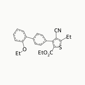 CCOC(=O)c1sc(CC)c(C#N)c1-c1ccc(-c2ccccc2OCC)cc1